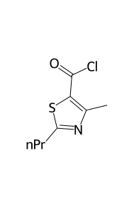 CCCc1nc(C)c(C(=O)Cl)s1